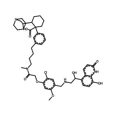 COc1cc(OCC(=O)N(C)CCCCc2cccc(C3(C(=O)O)CCCCC3C3CN4CCC3CC4)c2)c(Cl)cc1CNCC(O)c1ccc(O)c2[nH]c(=O)ccc12